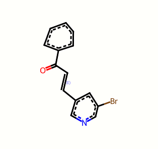 O=C(/C=C/c1cncc(Br)c1)c1ccccc1